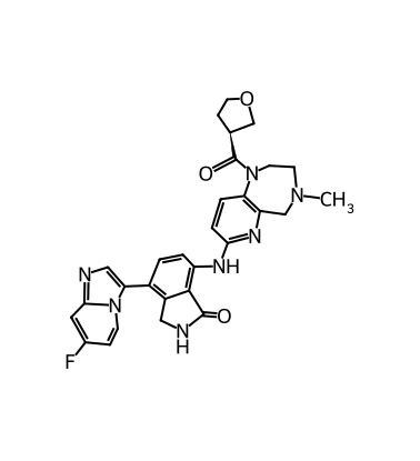 CN1CCN(C(=O)[C@H]2CCOC2)c2ccc(Nc3ccc(-c4cnc5cc(F)ccn45)c4c3C(=O)NC4)nc2C1